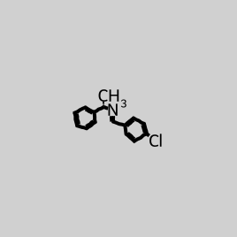 C[C@H](/N=C/c1ccc(Cl)cc1)c1ccccc1